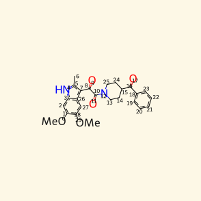 COc1cc2[nH]c(C)c(C(=O)C(=O)N3CCC(C(=O)c4ccccc4)CC3)c2cc1OC